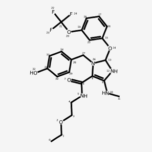 CCOCCNC(=O)C1=C(NC)NC(Oc2cccc(OC(F)(F)F)c2)N1Cc1ccc(O)cc1